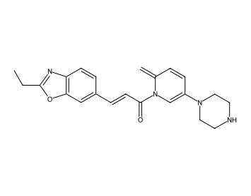 C=C1C=CC(N2CCNCC2)=CN1C(=O)/C=C/c1ccc2nc(CC)oc2c1